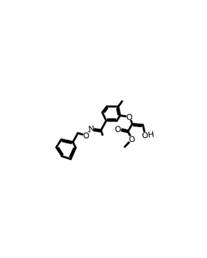 COC(=O)/C(=C\O)Oc1cc(/C(C)=N/OCc2ccccc2)ccc1C